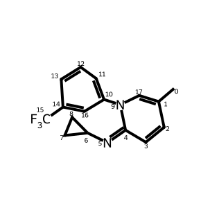 Cc1ccc(=NC2CC2)n(-c2cccc(C(F)(F)F)c2)c1